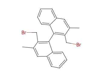 Cc1cc2ccccc2c(-c2c(CBr)c(C)cc3ccccc23)c1CBr